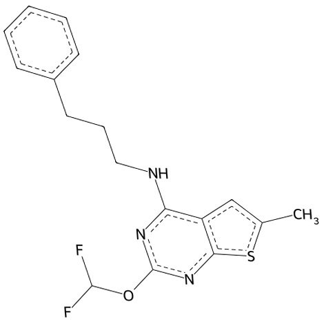 Cc1cc2c(NCCCc3ccccc3)nc(OC(F)F)nc2s1